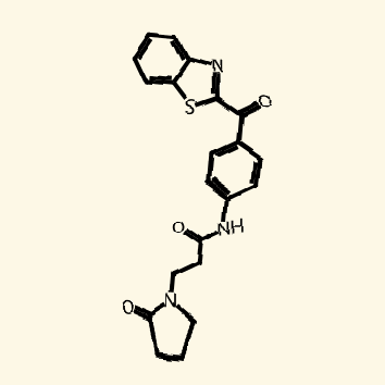 O=C(CCN1CCCC1=O)Nc1ccc(C(=O)c2nc3ccccc3s2)cc1